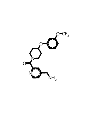 NCc1ccnc(C(=O)N2CCC(Oc3cccc(OC(F)(F)F)c3)CC2)c1